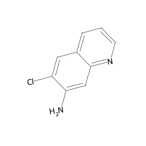 Nc1cc2ncccc2cc1Cl